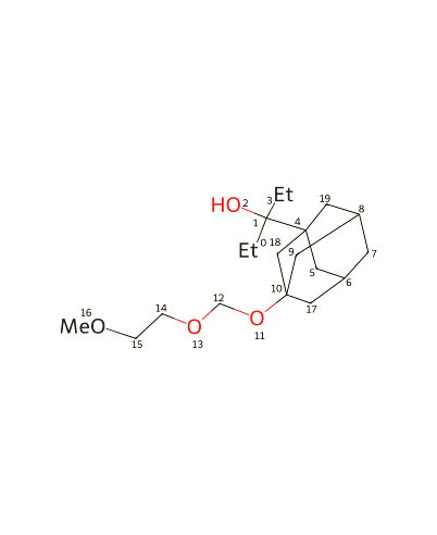 CCC(O)(CC)C12CC3CC(CC(OCOCCOC)(C3)C1)C2